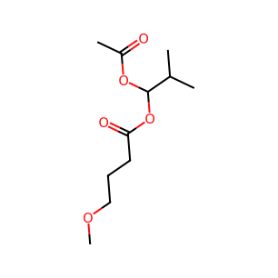 COCCCC(=O)OC(OC(C)=O)C(C)C